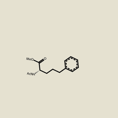 COC(=O)[C@H](CCCc1ccccc1)NC(C)=O